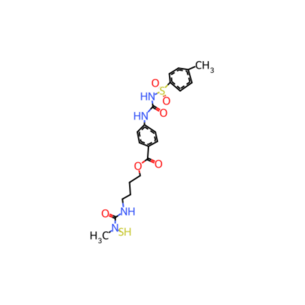 Cc1ccc(S(=O)(=O)NC(=O)Nc2ccc(C(=O)OCCCCNC(=O)N(C)S)cc2)cc1